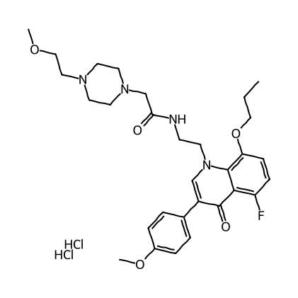 CCCOc1ccc(F)c2c(=O)c(-c3ccc(OC)cc3)cn(CCNC(=O)CN3CCN(CCOC)CC3)c12.Cl.Cl